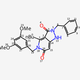 CCCCc1c2c(=O)n(Cc3ccccc3)[nH]c2cc(=O)n1Cc1cc(OC)cc(OC)c1